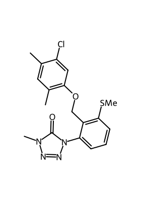 CSc1cccc(-n2nnn(C)c2=O)c1COc1cc(Cl)c(C)cc1C